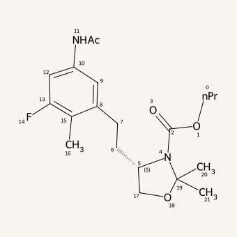 CCCOC(=O)N1[C@@H](CCc2cc(NC(C)=O)cc(F)c2C)COC1(C)C